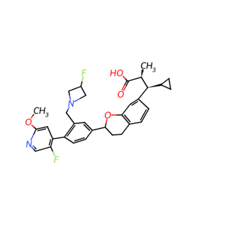 COc1cc(-c2ccc(C3CCc4ccc([C@H](C5CC5)[C@H](C)C(=O)O)cc4O3)cc2CN2CC(F)C2)c(F)cn1